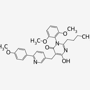 CCCCc1nc(O)c(Cc2ccc(-c3ccc(OC)cc3)nc2)c(=O)n1-c1c(OC)cccc1OC